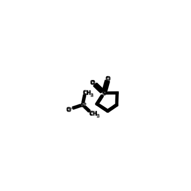 C[S+](C)[O-].O=S1(=O)CCCC1